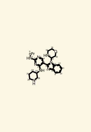 CCCNc1ncc(-c2nc3ccccc3n2C2COCCN2)c(NC2CCCNC2)n1